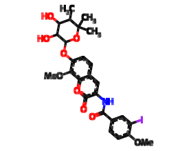 COc1ccc(C(=O)Nc2cc3ccc(OC4OC(C)(C)C(C)C(O)C4O)c(OC)c3oc2=O)cc1I